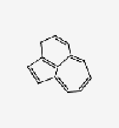 C1=Cc2ccccc3ccc(c2-3)C1